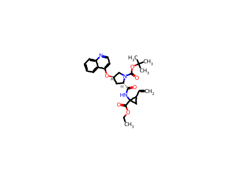 C=CC1CC1(NC(=O)[C@@H]1C[C@@H](Oc2ccnc3ccccc23)CN1C(=O)OC(C)(C)C)C(=O)OCC